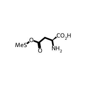 CSOC(=O)C[C@H](N)C(=O)O